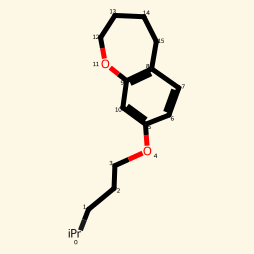 CC(C)CCCOc1ccc2c(c1)OCCCC2